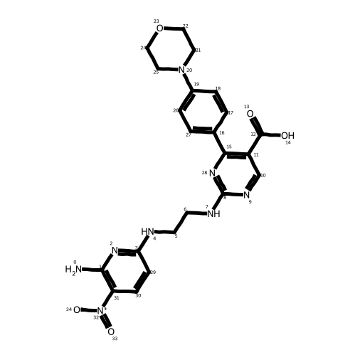 Nc1nc(NCCNc2ncc(C(=O)O)c(-c3ccc(N4CCOCC4)cc3)n2)ccc1[N+](=O)[O-]